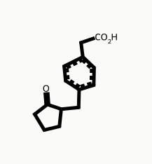 O=C(O)Cc1ccc(CC2CCCC2=O)cc1